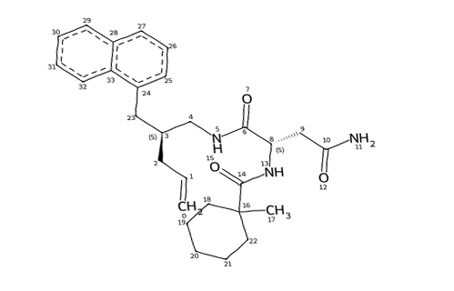 C=CC[C@H](CNC(=O)[C@H](CC(N)=O)NC(=O)C1(C)CCCCC1)Cc1cccc2ccccc12